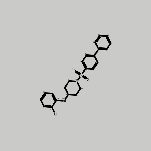 O=S(=O)(c1ccc(-c2ccccc2)cc1)N1CCC(Nc2ccccc2Cl)CC1